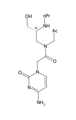 CCCN[C@@H](CO)CN(CC(C)=O)C(=O)Cn1ccc(N)nc1=O